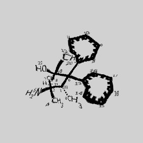 C[C@H](C(C)(C)N)C(c1ccccc1)(c1ccccc1)C(C)(C)O